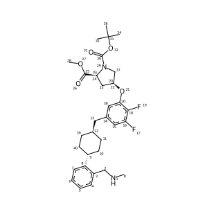 CNCc1ccccc1[C@H]1CC[C@H](Cc2cc(F)c(F)c(O[C@H]3C[C@@H](C(=O)OC)N(C(=O)OC(C)(C)C)C3)c2)CC1